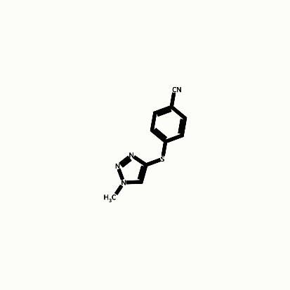 Cn1cc(Sc2ccc(C#N)cc2)nn1